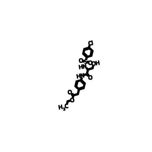 CCOC(=O)Cc1ccc(NC(=O)C(CO)NS(=O)(=O)c2ccc(Cl)cc2)cc1